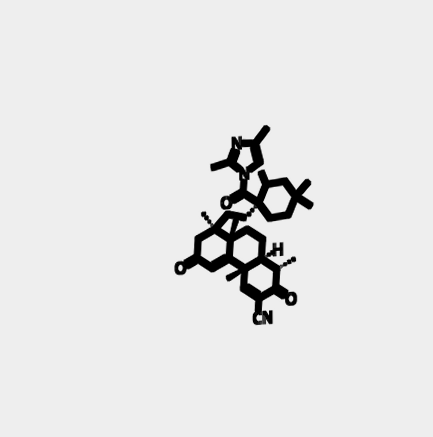 Cc1cn(C(=O)[C@]2(CC[C@]3(C)CC(=O)C=C4[C@@]5(C)C=C(C#N)C(=O)[C@@H](C)[C@@H]5CC[C@]43C)CCC(C)(C)CC2C)c(C)n1